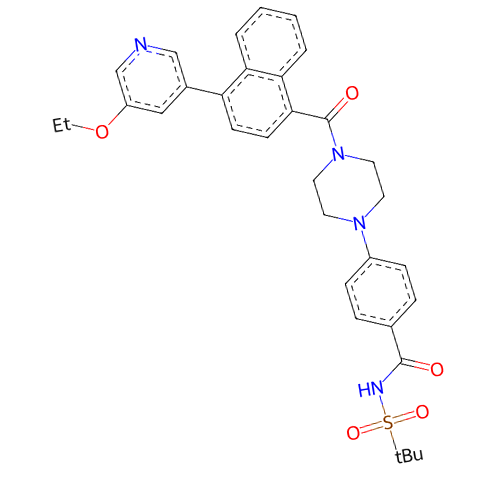 CCOc1cncc(-c2ccc(C(=O)N3CCN(c4ccc(C(=O)NS(=O)(=O)C(C)(C)C)cc4)CC3)c3ccccc23)c1